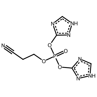 N#CCCOP(=O)(Oc1nc[nH]n1)Oc1nc[nH]n1